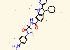 CN1c2cc(C(=O)NC(C)(C)C(=O)Nc3ccc(N)cc3)ccc2C(C2CCCCC2)C1c1ccccn1